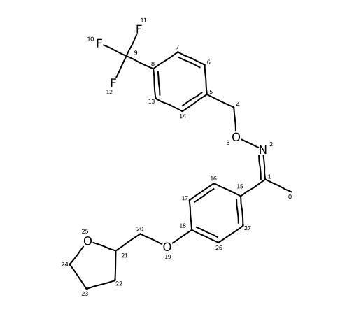 CC(=NOCc1ccc(C(F)(F)F)cc1)c1ccc(OCC2CCCO2)cc1